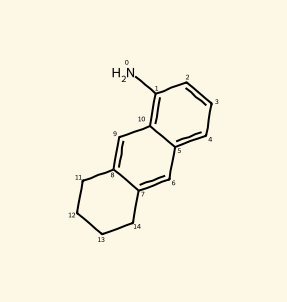 Nc1cccc2cc3c(cc12)CCCC3